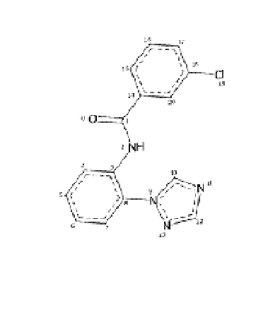 O=C(Nc1ccccc1-n1cncn1)c1cccc(Cl)c1